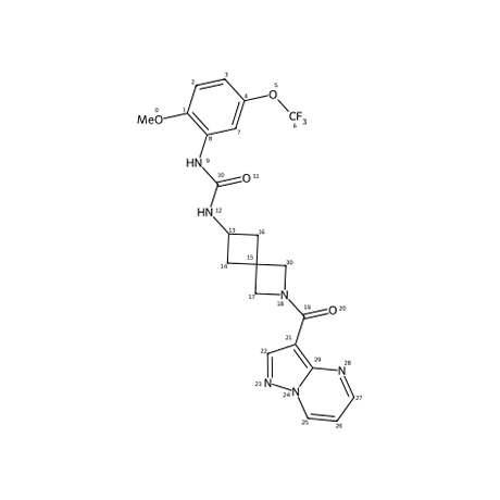 COc1ccc(OC(F)(F)F)cc1NC(=O)NC1CC2(C1)CN(C(=O)c1cnn3cccnc13)C2